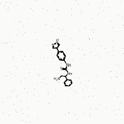 NCC(NC(=S)Nc1ccc(-c2cn[nH]c2)cc1)c1ccccc1